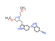 COCCN1CC(OC)CC1Cc1c[nH]c2ccc(-n3cnc4cc(C#N)ccc43)cc12